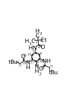 CCC(C)(C)C(=O)Nc1cc(NC(=O)CC(C)(C)C)c(N)c(NC(=O)CC(C)(C)C)c1